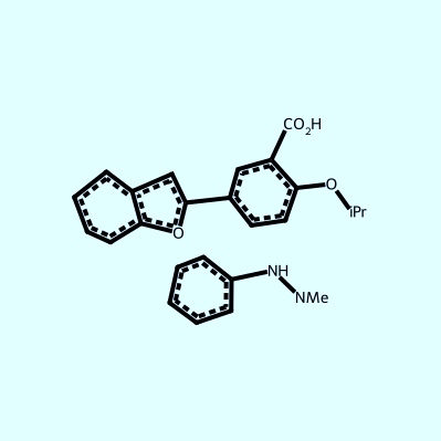 CC(C)Oc1ccc(-c2cc3ccccc3o2)cc1C(=O)O.CNNc1ccccc1